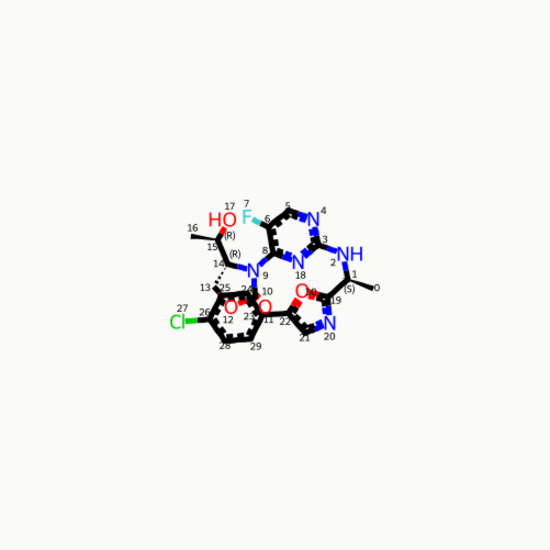 C[C@H](Nc1ncc(F)c(N2C(=O)OC[C@@H]2[C@@H](C)O)n1)c1ncc(-c2ccc(Cl)cc2)o1